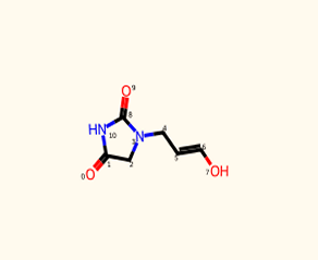 O=C1CN(CC=CO)C(=O)N1